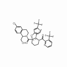 CCC[C@H]1N(C(=O)c2ncccc2C(F)(F)F)CCC[C@]1(Oc1csc(C(F)(F)F)c1)C(=O)N1CCc2cc(Cl)ccc2C1CO